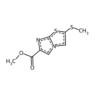 COC(=O)c1cn2cc(SC)sc2n1